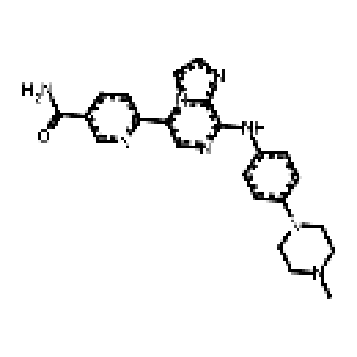 CN1CCN(c2ccc(Nc3ncc(-c4ccc(C(N)=O)cn4)n4ccnc34)cc2)CC1